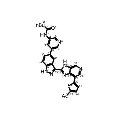 CCCCC(=O)Nc1cncc(-c2ccc3[nH]nc(-c4nc5c(-c6ccc(C(C)=O)s6)cncc5[nH]4)c3c2)c1